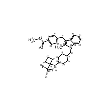 COC(=O)c1ccc(Cc2c(C)n(CC3CCN(CC4(C(F)(F)F)CCC4)CC3)c3ccccc23)cc1